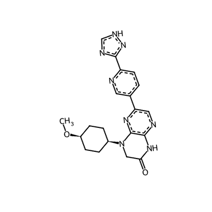 CO[C@H]1CC[C@@H](N2CC(=O)Nc3ncc(-c4ccc(-c5nc[nH]n5)nc4)nc32)CC1